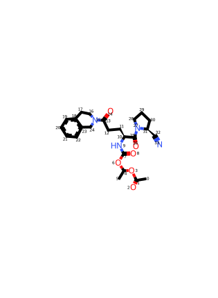 CC(=O)OC(C)OC(=O)N[C@@H](CCC(=O)N1CCc2ccccc2C1)C(=O)N1CCC[C@H]1C#N